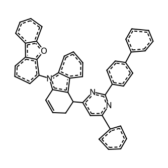 C1=Cc2c(c3ccccc3n2-c2cccc3c2oc2ccccc23)C(c2cc(-c3ccccc3)nc(-c3ccc(-c4ccccc4)cc3)n2)C1